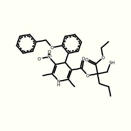 CCCC(CS)(OC(=O)C1=C(C)NC(C)=C([N+](=O)[O-])C1c1ccccc1OCc1ccccc1)C(=O)OCC